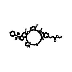 CCOC(=O)CCc1cccc(C2(C)CCSCCn3nccc3Cc3c(c(F)cc4c3ccn4S(=O)(=O)c3ccccc3)Oc3ccc(F)c(c3)-c3nc2nn3C)c1